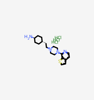 Cl.Cl.Cl.N[C@H]1CC[C@H](CCN2CCN(c3nccc4ccsc34)CC2)CC1